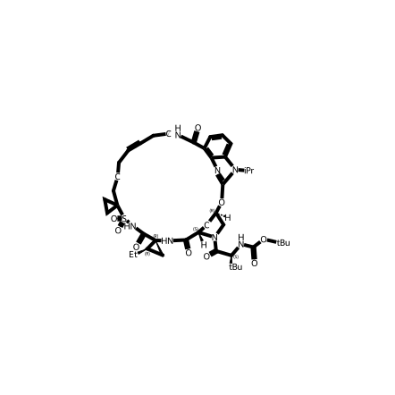 CC[C@@H]1C[C@@]12NC(=O)[C@@H]1C[C@H](CN1C(=O)[C@@H](NC(=O)OC(C)(C)C)C(C)(C)C)Oc1nc3c(cccc3n1C(C)C)C(=O)NCCC=CCCCC1(CC1)S(=O)(=O)NC2=O